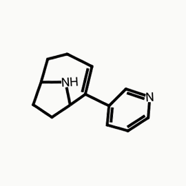 C1=C(c2cccnc2)C2CCC(CC1)N2